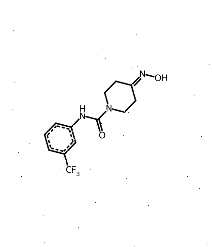 O=C(Nc1cccc(C(F)(F)F)c1)N1CCC(=NO)CC1